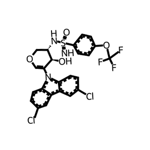 N=S(=O)(N[C@H]1COC=C(n2c3ccc(Cl)cc3c3cc(Cl)ccc32)[C@@H]1O)c1ccc(OC(F)(F)F)cc1